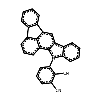 N#Cc1cccc(-n2c3ccccc3c3cc4c5c(cccc5c32)-c2ccccc2-4)c1C#N